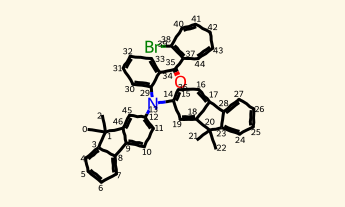 CC1(C)c2ccccc2-c2ccc(N(c3ccc4c(c3)C(C)(C)c3ccccc3-4)c3ccccc3C(=O)C3=C(Br)C=CCC=C3)cc21